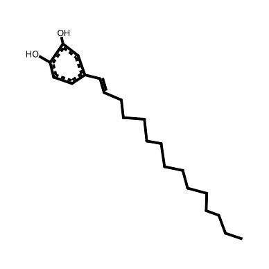 CCCCCCCCCCCCCC=Cc1ccc(O)c(O)c1